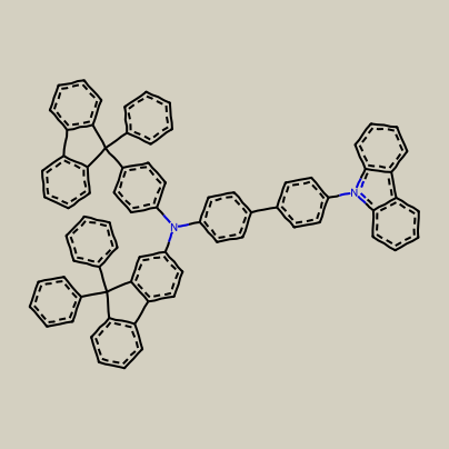 c1ccc(C2(c3ccc(N(c4ccc(-c5ccc(-n6c7ccccc7c7ccccc76)cc5)cc4)c4ccc5c(c4)C(c4ccccc4)(c4ccccc4)c4ccccc4-5)cc3)c3ccccc3-c3ccccc32)cc1